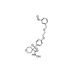 O=Nc1cccc(COCCOc2ccc(S(=O)(=O)C3(C(=O)NO)CCOCC3)cc2)c1